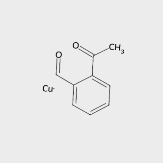 CC(=O)c1ccccc1C=O.[Cu]